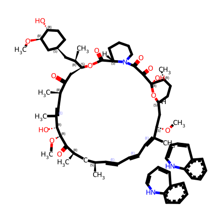 C1=CNc2ccccc2C=C1.C1=CNc2ccccc2C=C1.CO[C@H]1C[C@@H]2CC[C@@H](C)[C@@](O)(O2)C(=O)C(=O)N2CCCC[C@H]2C(=O)O[C@H]([C@H](C)C[C@@H]2CC[C@@H](O)[C@H](OC)C2)CC(=O)[C@H](C)/C=C(\C)[C@@H](O)[C@@H](OC)C(=O)[C@H](C)C[C@H](C)/C=C/C=C/C=C/1C